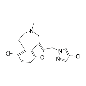 CN1CCc2c(Cl)ccc3oc(Cn4cc(Cl)cn4)c(c23)C1